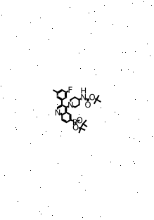 Cc1cc(F)cc(-c2cnc3ccc(B4OC(C)(C)C(C)(C)O4)cc3c2N2CCC(NC(=O)OC(C)(C)C)CC2)c1